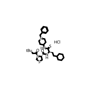 CC(C)(C)CC(=O)N1CSC[C@H]1C(=O)N[C@H](CCC1CCCCC1)C(=S)NC1CCN(Cc2ccccc2)CC1.Cl